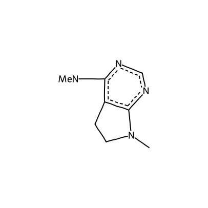 CNc1ncnc2c1CCN2C